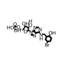 O=P(O)(O)OC[C@H]1O[C@@H](n2cnc3c(NCc4cc(Br)ccc4O)ncnc32)[C@H](O)[C@@H]1O